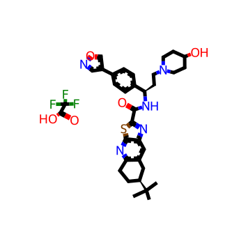 CC(C)(C)[C@H]1CCc2nc3sc(C(=O)N[C@H](CCN4CCC(O)CC4)c4ccc(-c5cnoc5)cc4)nc3cc2C1.O=C(O)C(F)(F)F